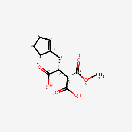 COC(=O)[C@H](C(=O)O)[C@@H](CC1=CCCC1)C(=O)O